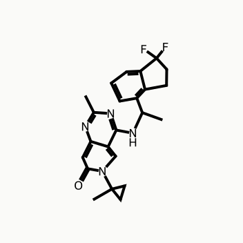 Cc1nc(NC(C)c2cccc3c2CCC3(F)F)c2cn(C3(C)CC3)c(=O)cc2n1